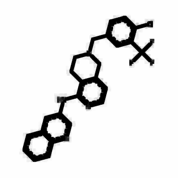 FC(F)(F)c1cc(CN2CCc3c(ccnc3Nc3cnc4ccccc4c3)C2)ccc1Cl